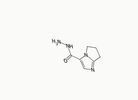 NNC(=O)c1cnc2n1CCC2